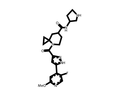 COc1cc(-c2cc(C(=O)N3CCC(C(=O)NC4CCNC4)CC34CC4)n[nH]2)c(F)cn1